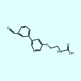 O=Cc1cccc(-c2cncc(OCCNC(=O)O)c2)c1